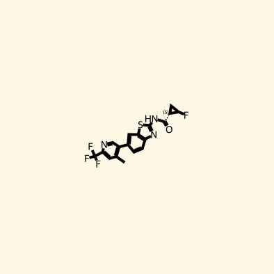 Cc1cc(C(F)(F)F)ncc1-c1ccc2nc(NC(=O)[C@@H]3CC3F)sc2c1